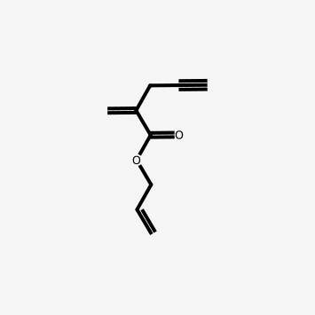 C#CCC(=C)C(=O)OCC=C